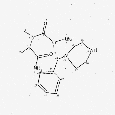 CC(C(N)=O)N(C)C(=O)OC(C)(C)C.c1ccc(CN2CCNCC2)cc1